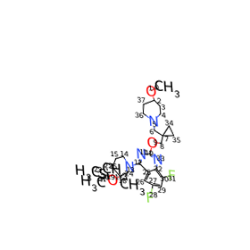 COC1CCN(CC2(COc3nc(N4CCCC(C)(O[Si](C)(C)C)C4)c4cc(F)cc(F)c4n3)CC2)CC1